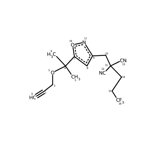 C#CCOC(C)(C)c1cc(CC(C#N)(C#N)CCC(F)(F)F)no1